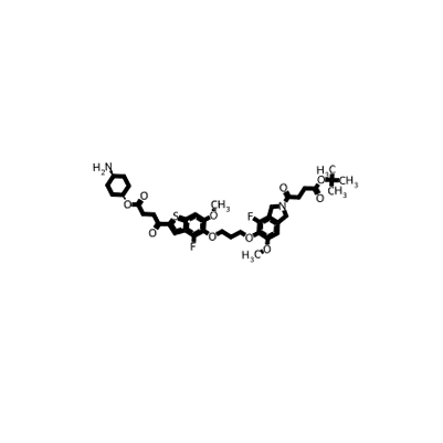 COc1cc2c(c(F)c1OCCCOc1c(OC)cc3sc(C(=O)CCC(=O)O[C@H]4CC[C@H](N)CC4)cc3c1F)CN(C(=O)CCC(=O)OC(C)(C)C)C2